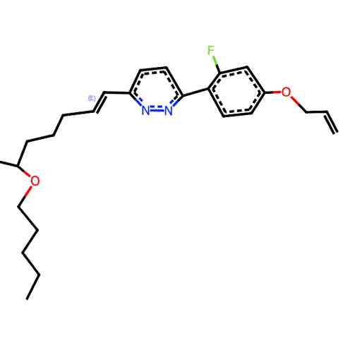 C=CCOc1ccc(-c2ccc(/C=C/CCCC(C)OCCCCC)nn2)c(F)c1